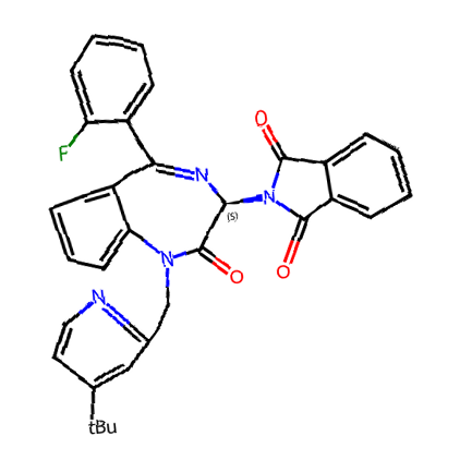 CC(C)(C)c1ccnc(CN2C(=O)[C@H](N3C(=O)c4ccccc4C3=O)N=C(c3ccccc3F)c3ccccc32)c1